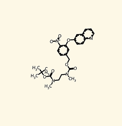 CN(CCN(C)C(=O)OC(C)(C)C)C(=O)OCc1ccc([N+](=O)[O-])c(Oc2ccc3ncccc3c2)c1